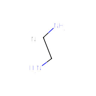 NCCN.[Ni]